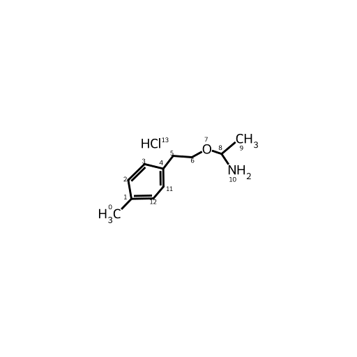 Cc1ccc(CCOC(C)N)cc1.Cl